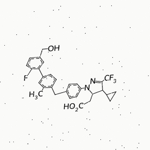 Cc1cc(-c2cc(CO)ccc2F)ccc1Cc1ccc(N2N=C(C(F)(F)F)C(C3CC3)C2CC(=O)O)cc1